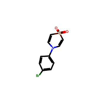 O=S1(=O)C=CN(c2ccc(Br)cc2)C=C1